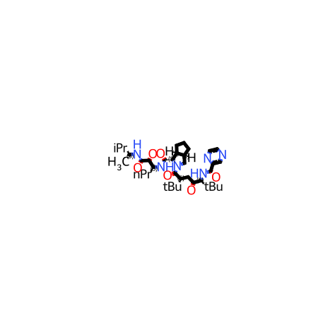 CCC[C@H](NC(=O)[C@@H]1[C@H]2CCC[C@H]2CN1C(=O)[C@@H](CC(=O)[C@@H](NC(=O)c1cnccn1)C(C)(C)C)C(C)(C)C)C(=O)C(=O)N[C@@H](C)C(C)C